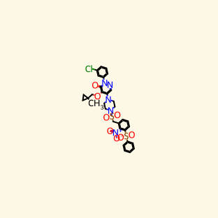 CC1(COc2c(N3CCN(S(=O)(=O)Cc4cccc(S(=O)(=O)c5ccccc5)c4[N+](=O)[O-])CC3)cnn(-c3cccc(Cl)c3)c2=O)CC1